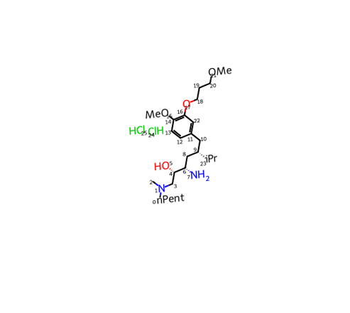 CCCCCN(C)C[C@H](O)[C@@H](N)C[C@H](Cc1ccc(OC)c(OCCCOC)c1)C(C)C.Cl.Cl